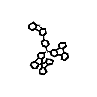 c1ccc2c(c1)-c1ccccc1C21c2ccccc2-c2ccc(N(c3ccc(-c4ccc5sc6ccccc6c5c4)cc3)c3ccc4c5ccccc5c5ccccc5c4c3)cc21